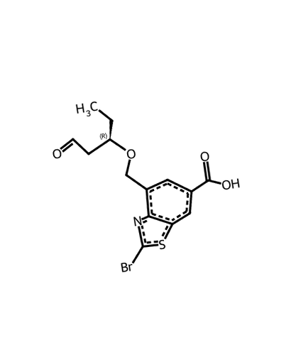 CC[C@H](CC=O)OCc1cc(C(=O)O)cc2sc(Br)nc12